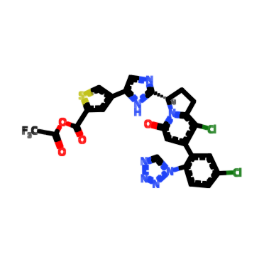 O=C(OC(=O)C(F)(F)F)c1cc(-c2cnc([C@@H]3CCc4c(Cl)c(-c5cc(Cl)ccc5-n5cnnn5)cc(=O)n43)[nH]2)cs1